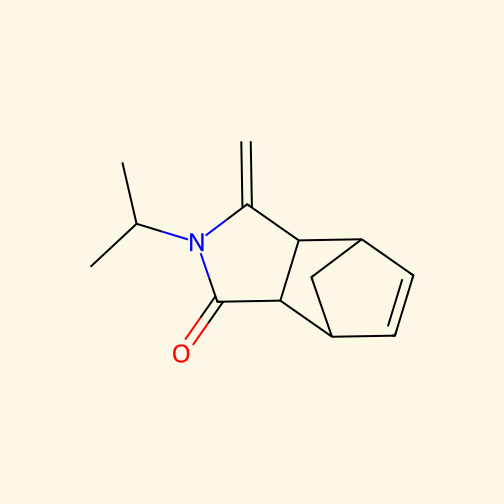 C=C1C2C3C=CC(C3)C2C(=O)N1C(C)C